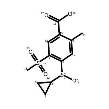 Cc1cc([S+]([O-])C2CC2)c(S(C)(=O)=O)cc1C(=O)Cl